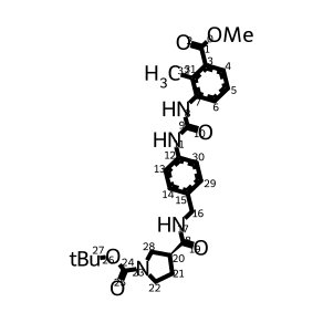 COC(=O)c1cccc(NC(=O)Nc2ccc(CNC(=O)[C@H]3CCN(C(=O)OC(C)(C)C)C3)cc2)c1C